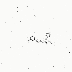 COCCn1c(-c2ccc(Cl)cc2)nn(CC(=O)NC(C)(C)c2cccc(C(F)(F)F)c2)c1=O